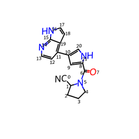 N#CC1CCCN1C(=O)c1cc(-c2ccnc3[nH]ccc23)c[nH]1